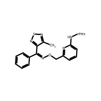 CCCCCCNc1cccc(CON=C(c2ccccc2)c2nsnc2C)n1